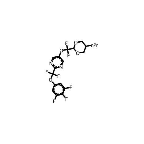 CCCC1COC(C(F)(F)Oc2cnc(C(F)(F)Oc3cc(F)c(F)c(F)c3)nc2)OC1